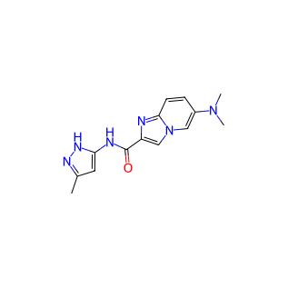 Cc1cc(NC(=O)c2cn3cc(N(C)C)ccc3n2)[nH]n1